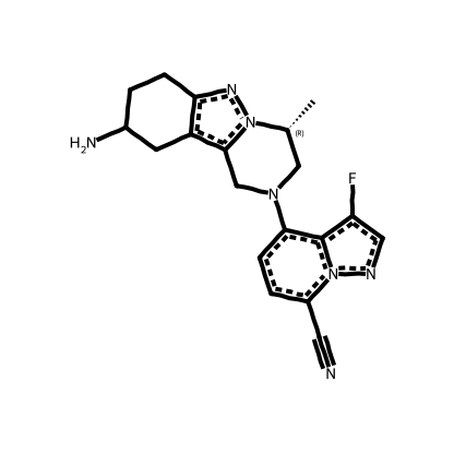 C[C@@H]1CN(c2ccc(C#N)n3ncc(F)c23)Cc2c3c(nn21)CCC(N)C3